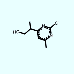 Cc1cc(C(C)CO)nc(Cl)n1